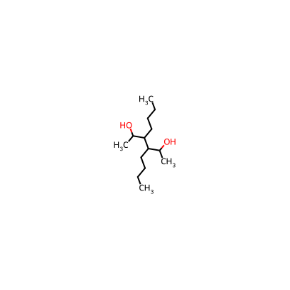 CCCCC(C(C)O)C(CCCC)C(C)O